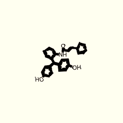 O=C(C=Cc1ccccc1)Nc1ccccc1C(c1ccc(O)cc1)c1ccc(O)cc1